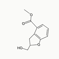 COC(=O)c1cccc2c1CC(CO)O2